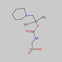 CC(C)(CN1CCCCC1)OC(=O)NC[SH](=O)=O